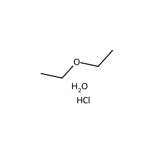 CCOCC.Cl.O